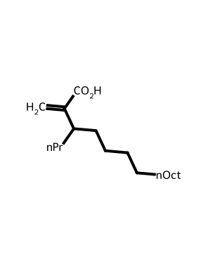 C=C(C(=O)O)C(CCC)CCCCCCCCCCCC